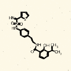 CC(C)c1cccc(C(=O)NCCc2ccc(NS(=O)(=O)C(=N)c3cccs3)cc2)c1O